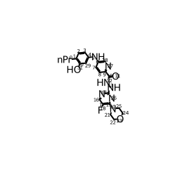 CCCc1ccc(Nc2ccc(C(=O)NNc3ncc(F)c(N4CCOCC4)n3)nc2)cc1O